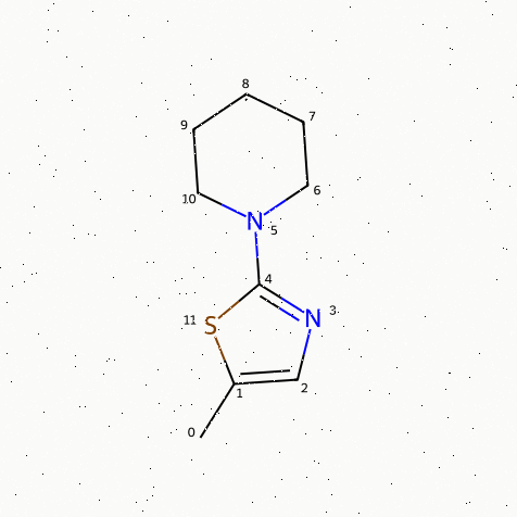 Cc1cnc(N2CC[CH]CC2)s1